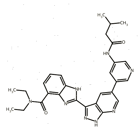 CCN(CC)C(=O)c1cccc2[nH]c(-c3n[nH]c4ncc(-c5cncc(NC(=O)CC(C)C)c5)cc34)nc12